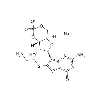 NCCSc1nc2c(=O)[nH]c(N)nc2n1[C@@H]1O[C@@H]2COP(=O)([O-])O[C@H]2[C@H]1O.[Na+]